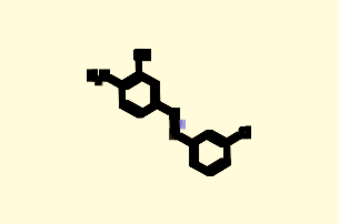 N#Cc1cc(/N=N/c2cccc(Cl)c2)ccc1N